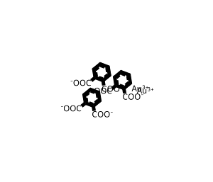 O=C([O-])c1ccccc1C(=O)[O-].O=C([O-])c1ccccc1C(=O)[O-].O=C([O-])c1ccccc1C(=O)[O-].[Au+3].[Au+3]